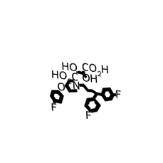 Fc1ccc(OC2=CCN(CCCC(c3ccc(F)cc3)c3ccc(F)cc3)CC2)cc1.O=C(O)C(O)C(O)C(=O)O